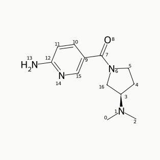 CN(C)[C@@H]1CCN(C(=O)c2ccc(N)nc2)C1